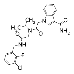 CC(C)N(CC(=O)NCc1cccc(Cl)c1F)C(=O)Cn1cc(C(N)=O)c2ccccc21